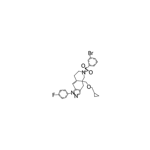 O=S(=O)(c1cccc(Br)c1)N1CCC2=Cc3c(cnn3-c3ccc(F)cc3)CC2(COCC2CC2)C1